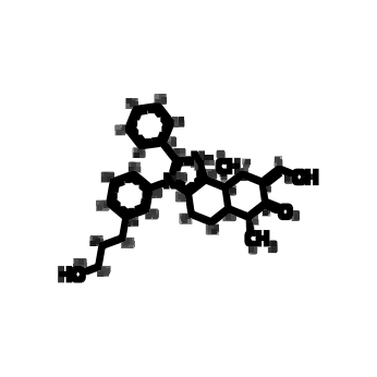 C[C@@H]1C(=O)/C(=C\O)C[C@]2(C)c3nc(-c4ccccc4)n(-c4cccc(CCCO)c4)c3CCC12